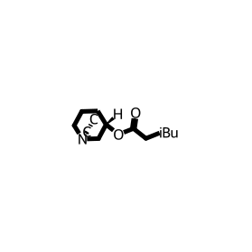 CCC(C)CC(=O)O[C@@H]1CN2CCC1CC2